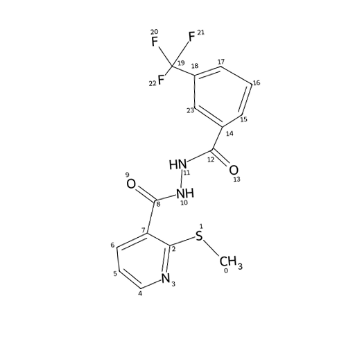 CSc1ncccc1C(=O)NNC(=O)c1cccc(C(F)(F)F)c1